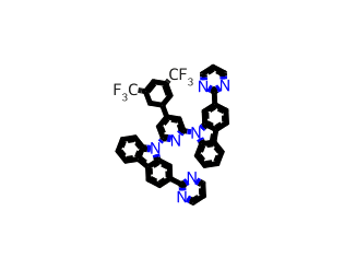 FC(F)(F)C1=CC(c2cc(-n3c4ccccc4c4ccc(-c5ncccn5)cc43)nc(-n3c4ccccc4c4ccc(-c5ncccn5)cc43)c2)CC(C(F)(F)F)=C1